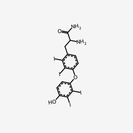 NC(=O)C(N)Cc1ccc(Oc2ccc(O)c(I)c2I)c(I)c1I